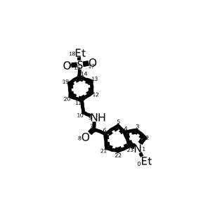 CCn1ccc2cc(C(=O)NCc3ccc(S(=O)(=O)CC)cc3)ccc21